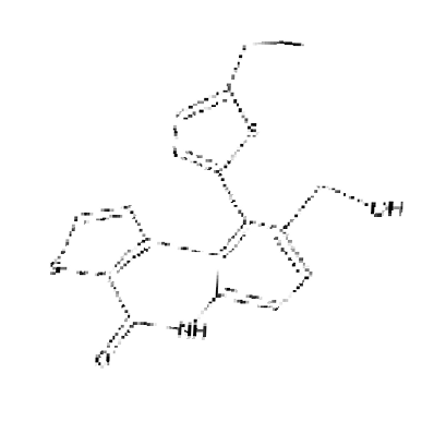 CCc1ccc(-c2c(CO)ccc3[nH]c(=O)c4sccc4c23)s1